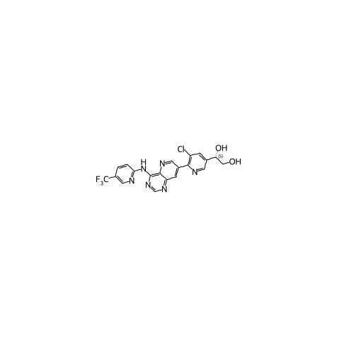 OC[C@@H](O)c1cnc(-c2cnc3c(Nc4ccc(C(F)(F)F)cn4)ncnc3c2)c(Cl)c1